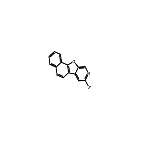 Brc1cc2c(cn1)oc1c3ccccc3ncc21